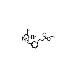 CCOC(=O)CCc1cccc(Cn2ncc(F)c2Br)c1